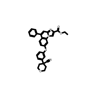 CCOC(=O)c1cn2c(cc(-c3ccccc3)c3ccc(Sc4cccc(C5(C#N)CCOCC5)c4)cc32)n1